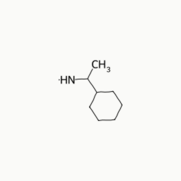 CC([NH])C1CCCCC1